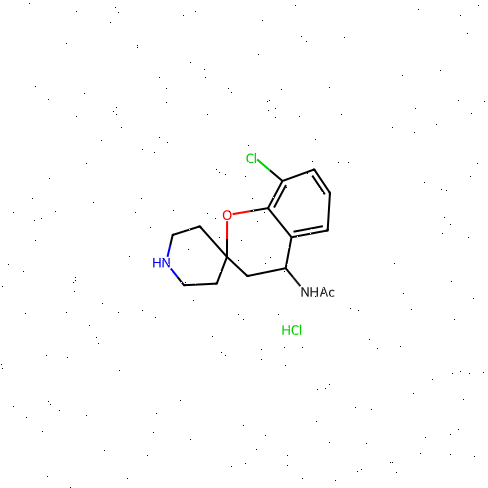 CC(=O)NC1CC2(CCNCC2)Oc2c(Cl)cccc21.Cl